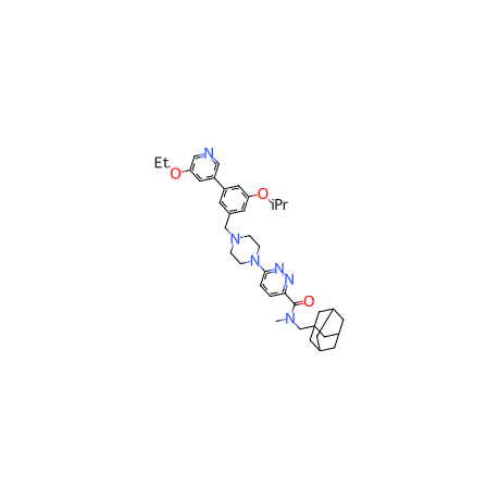 CCOc1cncc(-c2cc(CN3CCN(c4ccc(C(=O)N(C)CC56CC7CC(CC(C7)C5)C6)nn4)CC3)cc(OC(C)C)c2)c1